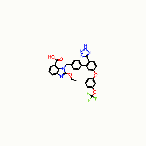 CCOc1nc2cccc(C(=O)O)c2n1Cc1ccc(-c2cc(Oc3cccc(OC(F)(F)F)c3)ccc2-c2nn[nH]n2)cc1